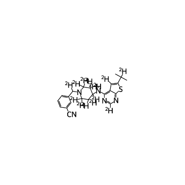 [2H]c1nc(N([2H])C2([2H])C([2H])([2H])C([2H])([2H])N(C([2H])c3cccc(C#N)c3)C([2H])([2H])C2([2H])[2H])c2c([2H])c(C([2H])(C)C)sc2n1